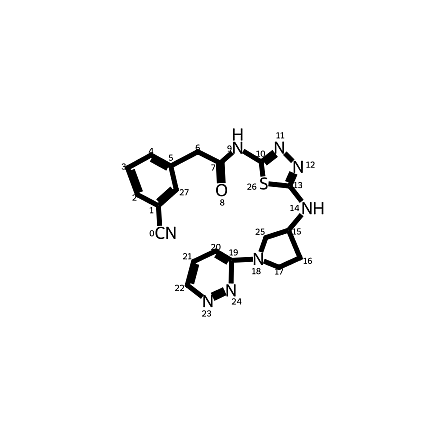 N#Cc1cccc(CC(=O)Nc2nnc(NC3CCN(c4cccnn4)C3)s2)c1